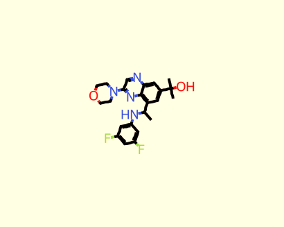 CC(Nc1cc(F)cc(F)c1)c1cc(C(C)(C)O)cc2ncc(N3CCOCC3)nc12